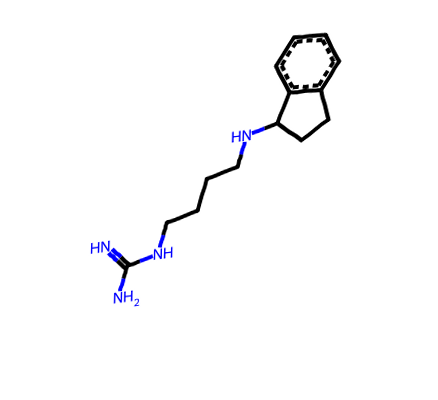 N=C(N)NCCCCNC1CCc2ccccc21